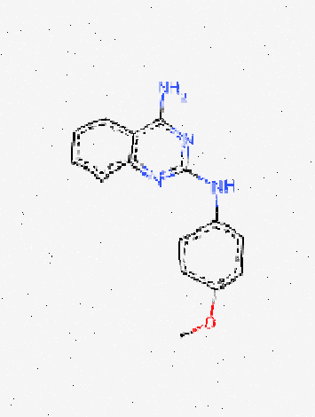 COc1ccc(Nc2nc(N)c3ccccc3n2)cc1